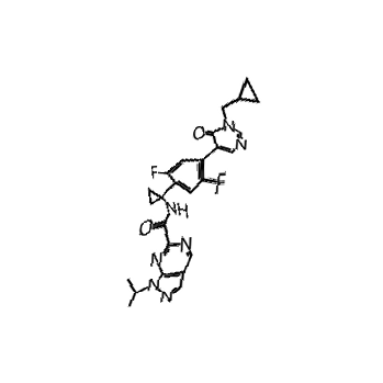 CC(C)n1ncc2cnc(C(=O)NC3(c4cc(F)c(-c5cncn(CC6CC6)c5=O)cc4F)CC3)nc21